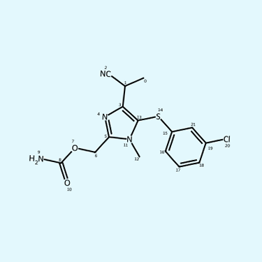 CC(C#N)c1nc(COC(N)=O)n(C)c1Sc1cccc(Cl)c1